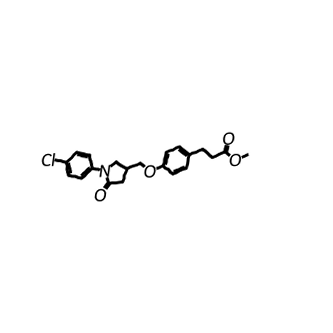 COC(=O)CCc1ccc(OCC2CC(=O)N(c3ccc(Cl)cc3)C2)cc1